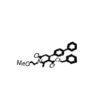 COCCN1C(=O)CC(c2ccc(-c3ccccc3)cc2)C(C(=O)OCc2ccccc2)=C1C